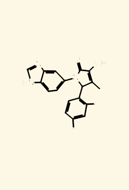 CC1=C(O)C(=O)N(c2ccc3[nH]cnc3c2)C1c1ccc(Cl)cc1Cl